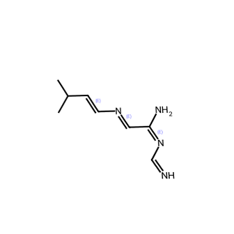 CC(C)/C=C/N=C/C(N)=N\C=N